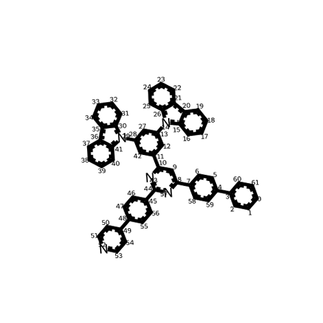 c1ccc(-c2ccc(-c3cc(-c4cc(-n5c6ccccc6c6ccccc65)cc(-n5c6ccccc6c6ccccc65)c4)nc(-c4ccc(-c5ccncc5)cc4)n3)cc2)cc1